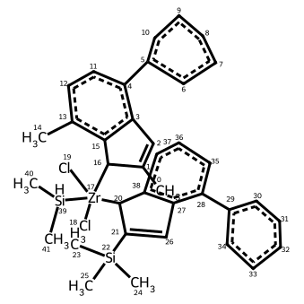 CC1=Cc2c(-c3ccccc3)ccc(C)c2[CH]1[Zr]([Cl])([Cl])([CH]1C([Si](C)(C)C)=Cc2c(-c3ccccc3)cccc21)[SiH](C)C